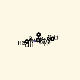 COc1cc(/C=N/NC(=O)c2ccc(O)c(Cl)c2)cc(-c2ccccc2)c1OCCNC(CO)Cc1ccc(Cl)cc1